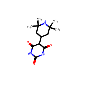 CC1(C)CC(C2C(=O)NC(=O)NC2=O)CC(C)(C)N1